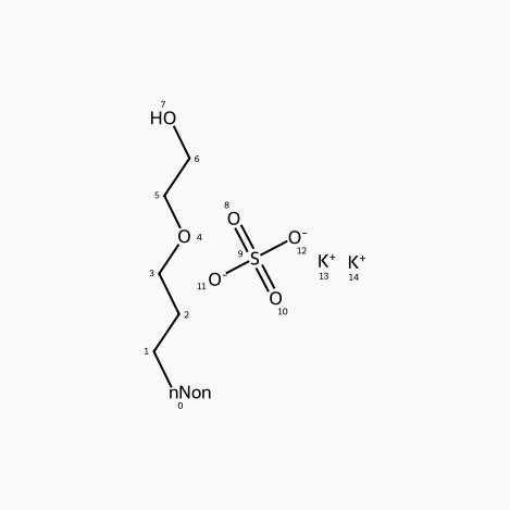 CCCCCCCCCCCCOCCO.O=S(=O)([O-])[O-].[K+].[K+]